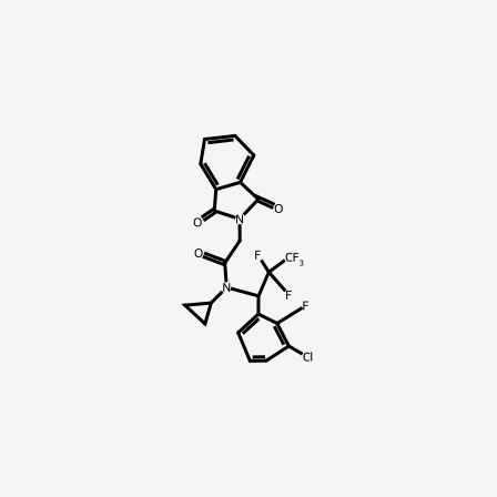 O=C1c2ccccc2C(=O)N1CC(=O)N(C1CC1)C(c1cccc(Cl)c1F)C(F)(F)C(F)(F)F